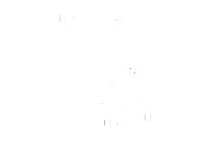 C=CCC1CC(NC(=O)OC(C)(C)C)CC1=O